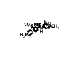 CN/C=C1\C(=N)C(C(=O)Nc2cc(F)c3nc(C)cn3c2)=CC=C1N1CCN(C)CC1